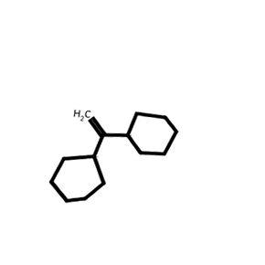 C=C([C]1CCCCC1)[C]1CCCCC1